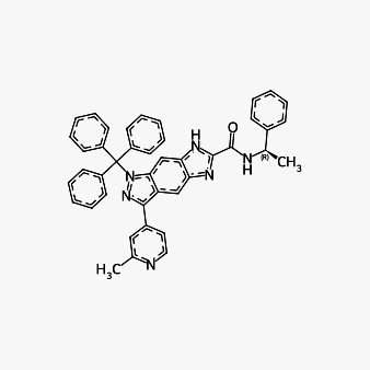 Cc1cc(-c2nn(C(c3ccccc3)(c3ccccc3)c3ccccc3)c3cc4[nH]c(C(=O)N[C@H](C)c5ccccc5)nc4cc23)ccn1